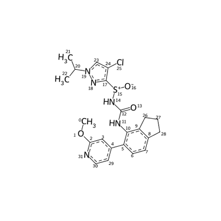 COc1cc(-c2ccc3c(c2NC(=O)N[S+]([O-])c2nn(C(C)C)cc2Cl)CCC3)ccn1